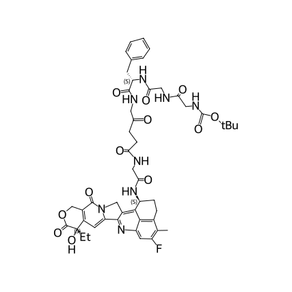 CC[C@@]1(O)C(=O)OCc2c1cc1n(c2=O)Cc2c-1nc1cc(F)c(C)c3c1c2[C@@H](NC(=O)CNC(=O)CCC(=O)CNC(=O)[C@H](Cc1ccccc1)NC(=O)CNC(=O)CNC(=O)OC(C)(C)C)CC3